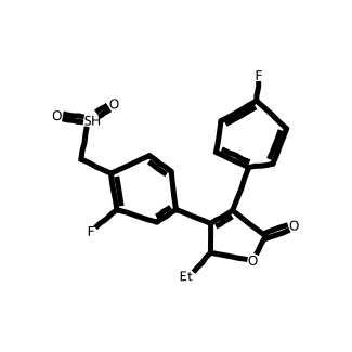 CCC1OC(=O)C(c2ccc(F)cc2)=C1c1ccc(C[SH](=O)=O)c(F)c1